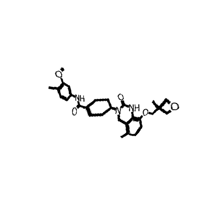 COc1cc(NC(=O)C2CCC(N3Cc4c(C)ccc(OCC5(C)COC5)c4NC3=O)CC2)ccc1C